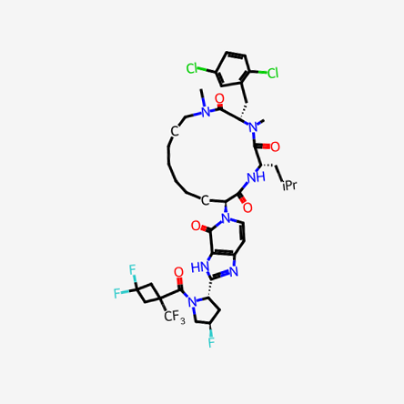 CC(C)C[C@@H]1NC(=O)[C@@H](n2ccc3nc([C@@H]4C[C@@H](F)CN4C(=O)C4(C(F)(F)F)CC(F)(F)C4)[nH]c3c2=O)CCCCCCCN(C)C(=O)[C@H](Cc2cc(Cl)ccc2Cl)N(C)C1=O